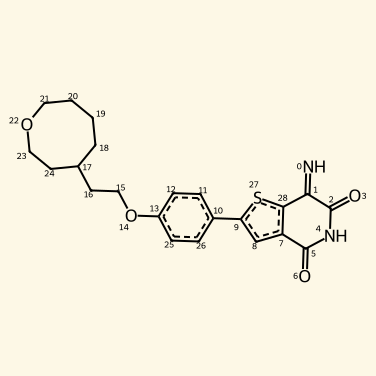 N=C1C(=O)NC(=O)c2cc(-c3ccc(OCCC4CCCCOCC4)cc3)sc21